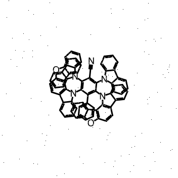 N#Cc1c(-n2c3ccccc3c3ccccc32)c(-n2c3ccccc3c3ccc4oc5ccccc5c4c32)c(-c2ccccc2)c(-n2c3ccccc3c3ccc4oc5ccccc5c4c32)c1-n1c2ccccc2c2ccccc21